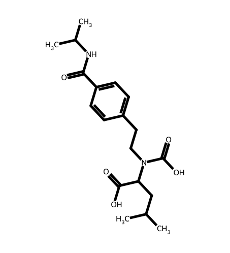 CC(C)CC(C(=O)O)N(CCc1ccc(C(=O)NC(C)C)cc1)C(=O)O